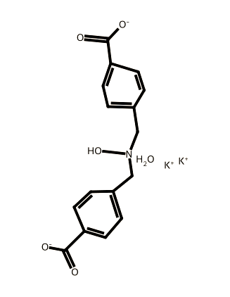 O.O=C([O-])c1ccc(CN(O)Cc2ccc(C(=O)[O-])cc2)cc1.[K+].[K+]